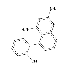 Nc1nc(N)c2c(-c3ccccc3O)cccc2n1